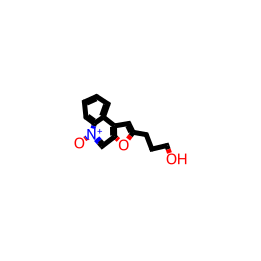 [O-][n+]1cc2oc(CCCO)cc2c2ccccc21